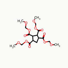 COCOC(=O)C1CC(C(=O)OCOC)C(C(=O)OCOC)C1C(=O)OCOC